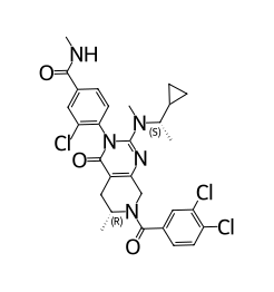 CNC(=O)c1ccc(-n2c(N(C)[C@@H](C)C3CC3)nc3c(c2=O)C[C@@H](C)N(C(=O)c2ccc(Cl)c(Cl)c2)C3)c(Cl)c1